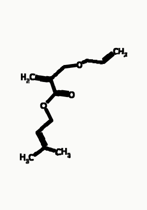 C=CCOCC(=C)C(=O)OCC=C(C)C